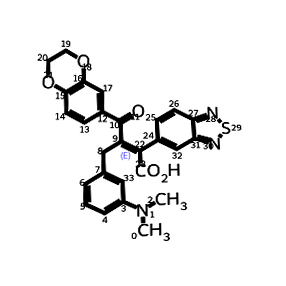 CN(C)c1cccc(C/C(C(=O)c2ccc3c(c2)OCCO3)=C(\C(=O)O)c2ccc3nsnc3c2)c1